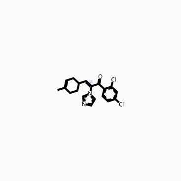 CC1=CCC(/C=C(/C(=O)c2ccc(Cl)cc2Cl)n2ccnc2)CC1